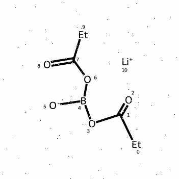 CCC(=O)OB([O-])OC(=O)CC.[Li+]